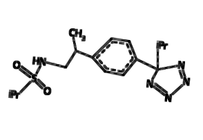 CC(CNS(=O)(=O)C(C)C)c1ccc(C2(C(C)C)N=NN=N2)cc1